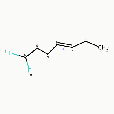 [CH2]C/C=C/CCC(F)F